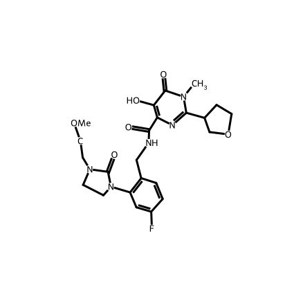 COCCN1CCN(c2cc(F)ccc2CNC(=O)c2nc(C3CCOC3)n(C)c(=O)c2O)C1=O